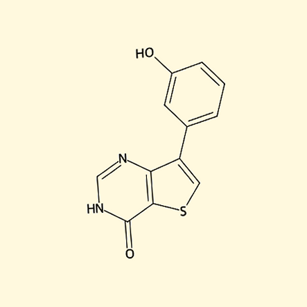 O=c1[nH]cnc2c(-c3cccc(O)c3)csc12